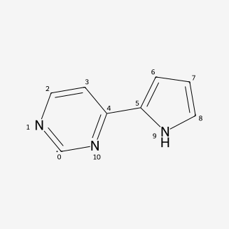 [c]1nccc(-c2ccc[nH]2)n1